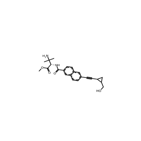 COC(=O)[C@@H](NC(=O)c1ccc2cc(C#CC3CC3CO)ccc2c1)C(C)(C)N